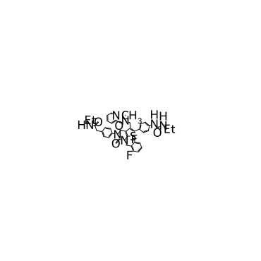 CCNC(=O)Cc1ccc(-n2c(=O)c3c(CN(C)Cc4ccccn4)c(-c4ccc(NC(=O)NCC)cc4)sc3n(Cc3c(F)cccc3F)c2=O)cc1